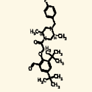 C[C@@H]1CN(C(=O)COc2c(C=O)cc(C(C)(C)C)cc2C(C)(C)C)[C@@H](C)CN1Cc1ccc(F)cc1